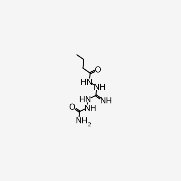 CCCC(=O)NNC(=N)NNC(N)=O